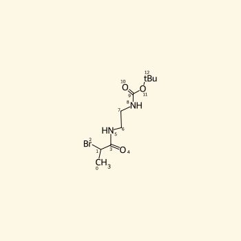 CC(Br)C(=O)NCCNC(=O)OC(C)(C)C